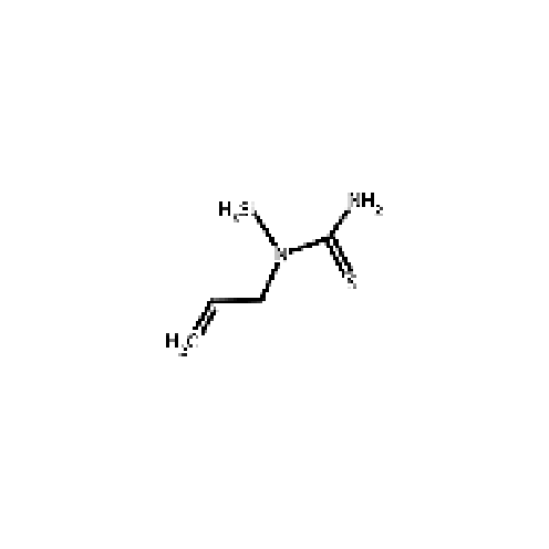 C=CCN([SiH3])C(N)=S